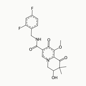 COc1c2n(cc(C(=O)NCc3ccc(F)cc3F)c1=O)CC(O)C(C)(C)C2=O